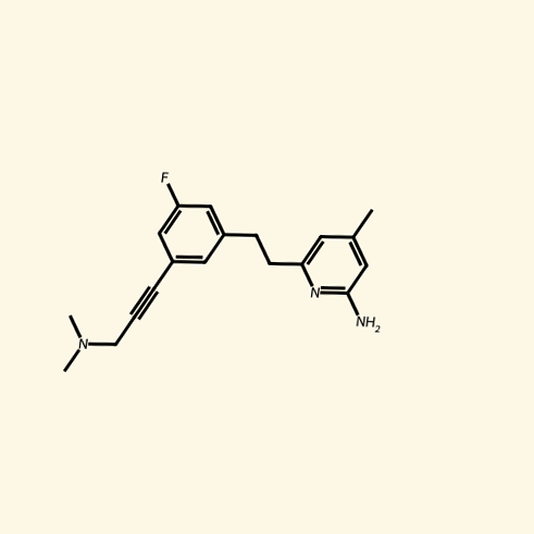 Cc1cc(N)nc(CCc2cc(F)cc(C#CCN(C)C)c2)c1